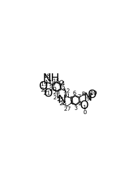 COc1cc2c(cc1CN=O)C1Cc3ccc(C(N)=O)c(OC)c3CN1CC2